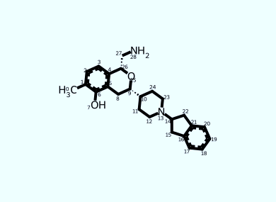 Cc1ccc2c(c1O)C[C@@H](C1CCN(C3Cc4ccccc4C3)CC1)O[C@H]2CN